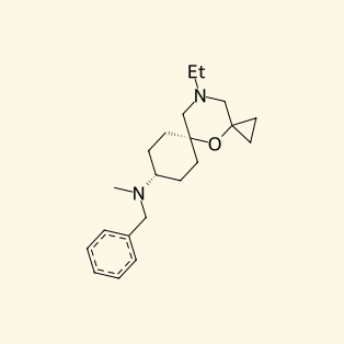 CCN1CC2(CC2)O[C@]2(CC[C@@H](N(C)Cc3ccccc3)CC2)C1